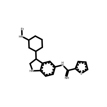 CCNC1CCCC(C2CNc3ccc(NC(=N)c4cccs4)cc32)C1